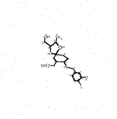 CCOC(=O)CC1=CC2(CCC1SCc1ccc(F)c(Cl)c1)OC(CO)[C@@H](C)O2